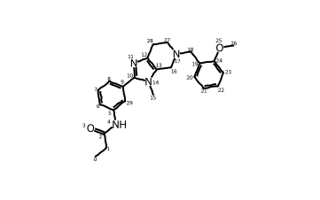 CCC(=O)Nc1cccc(-c2nc3c(n2C)CN(Cc2ccccc2OC)CC3)c1